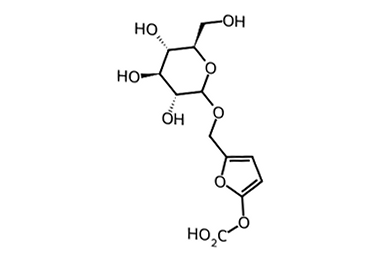 O=C(O)Oc1ccc(COC2O[C@H](CO)[C@@H](O)[C@H](O)[C@H]2O)o1